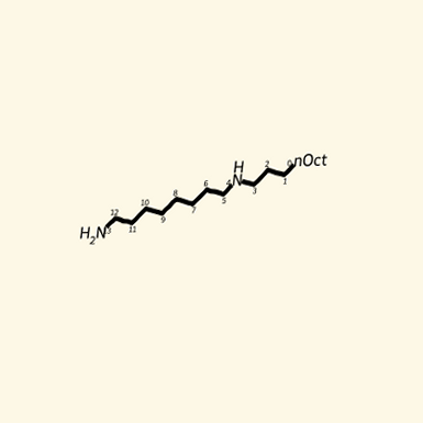 CCCCCCCCCCCNCCCCCCCCN